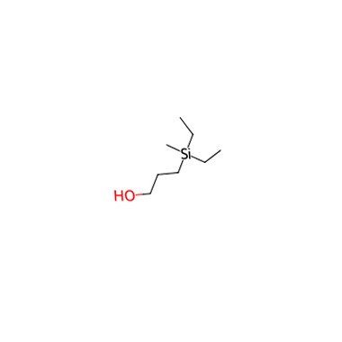 CC[Si](C)(CC)CCCO